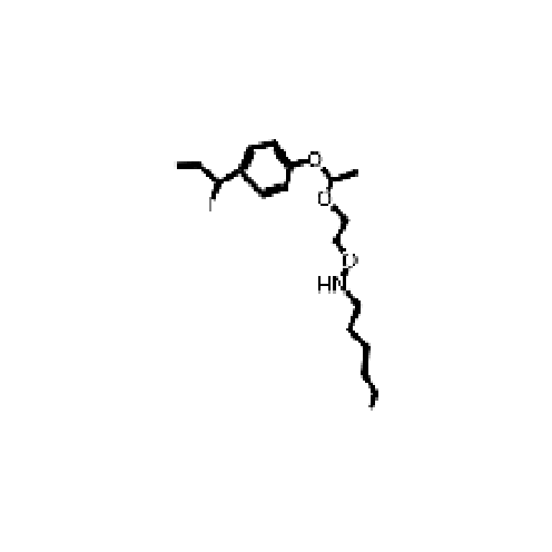 CCCCCCNOCCOC(C)Oc1ccc(C(I)CC)cc1